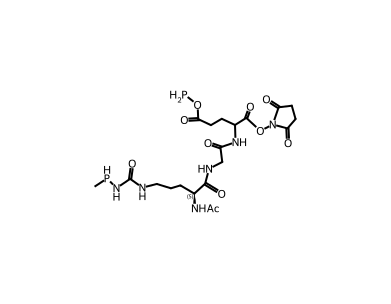 CPNC(=O)NCCC[C@H](NC(C)=O)C(=O)NCC(=O)NC(CCC(=O)OP)C(=O)ON1C(=O)CCC1=O